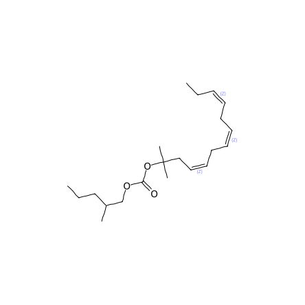 CC/C=C\C/C=C\C/C=C\CC(C)(C)OC(=O)OCC(C)CCC